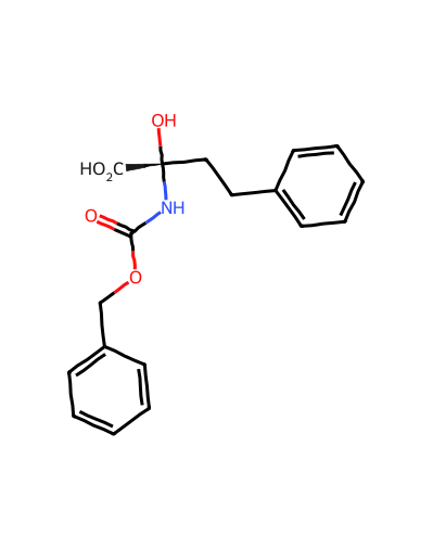 O=C(N[C@](O)(CCc1ccccc1)C(=O)O)OCc1ccccc1